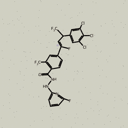 O=C(NNc1cccc(F)n1)c1ccc(/C(F)=C/C(c2cc(Cl)c(Cl)c(Cl)c2)C(F)(F)F)cc1C(F)(F)F